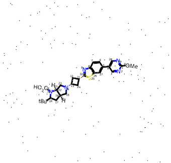 COc1ncc(-c2ccc3nc([C@H]4C[C@@H](N5C[C@H]6CC(C(C)(C)C)N(C(=O)O)[C@H]6C5)C4)sc3c2)cn1